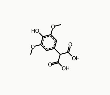 COc1cc(C(C(=O)O)C(=O)O)cc(OC)c1O